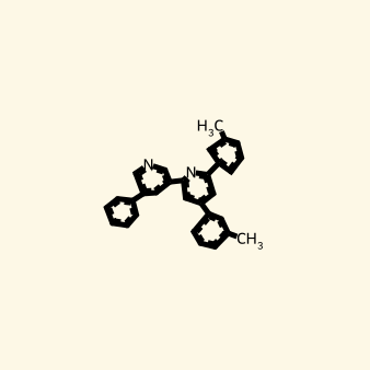 Cc1cccc(-c2cc(-c3cccc(C)c3)nc(-c3cncc(-c4ccccc4)c3)c2)c1